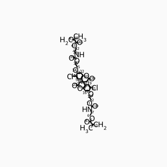 C=C(C)C(=O)OCCNC(=O)OCCOc1cc2c(cc1Cl)C1(CC(=O)O2)CC(=O)Oc2cc(OCCOC(=O)NCCOC(=O)C(=C)C)c(Cl)cc21